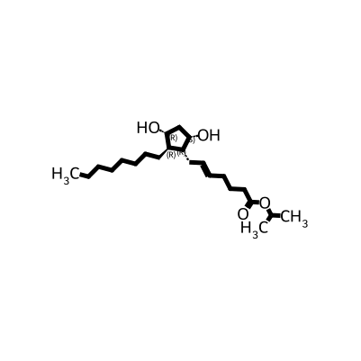 CCCCCCCC[C@@H]1[C@@H](CC=CCCCC(=O)OC(C)C)[C@@H](O)C[C@H]1O